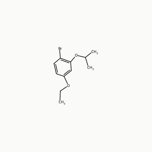 CCOc1ccc(Br)c(OC(C)C)c1